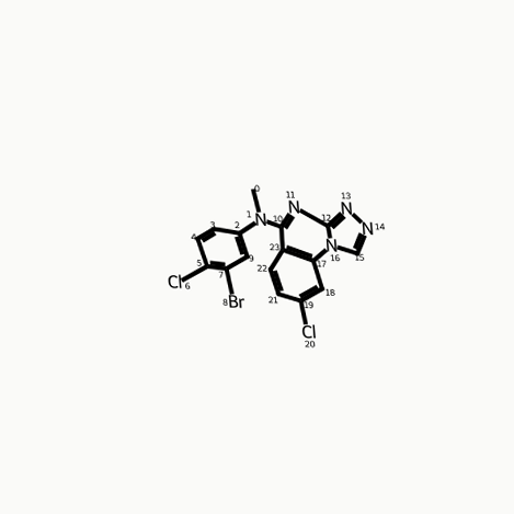 CN(c1ccc(Cl)c(Br)c1)c1nc2nncn2c2cc(Cl)ccc12